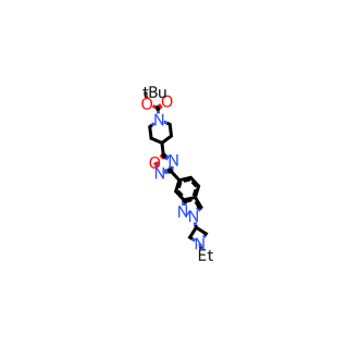 CCN1CC(n2cc3ccc(-c4noc(C5CCN(C(=O)OC(C)(C)C)CC5)n4)cc3n2)C1